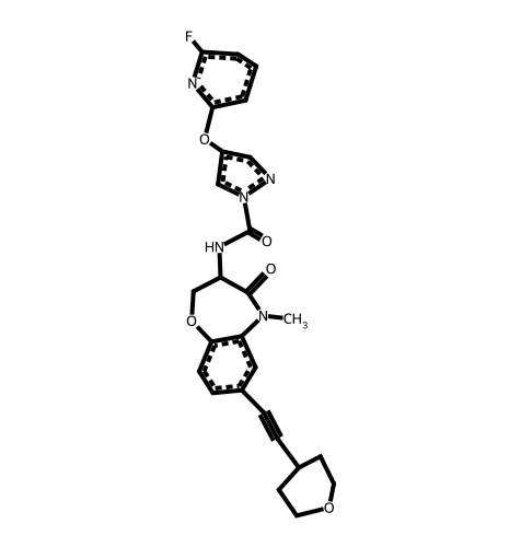 CN1C(=O)C(NC(=O)n2cc(Oc3cccc(F)n3)cn2)COc2ccc(C#CC3CCOCC3)cc21